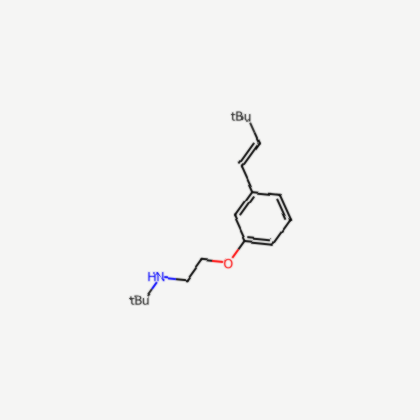 CC(C)(C)/C=C/c1cccc(OCCNC(C)(C)C)c1